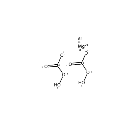 O=C([O-])OO.O=C([O-])OO.[Al].[Mg+2]